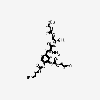 CC(C)CCOC(=O)Oc1ccc(C[C@H](N)C(=O)O[C@@H](C)COC(=O)OCC(C)(C)C)cc1OC(=O)OCCC(C)C